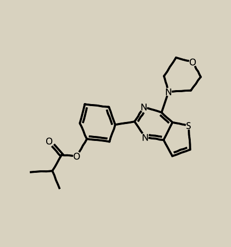 CC(C)C(=O)Oc1cccc(-c2nc(N3CCOCC3)c3sccc3n2)c1